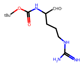 CC(C)(C)OC(=O)NC([C]=O)CCCNC(=N)N